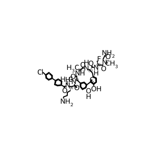 C[C@@H]1NC(=O)[C@@H](N(C)C(=O)[C@H](CCCCN)NC(=O)c2ccc(-c3ccc(Cl)cc3)cc2)c2ccc(O)c(c2)-c2cc(ccc2O)C[C@@H](C(=O)N[C@@H](CF)C(=O)N(C)CC(N)=O)NC1=O